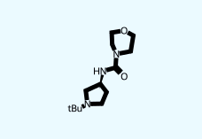 CC(C)(C)N1CC[C@H](NC(=O)N2CCOCC2)C1